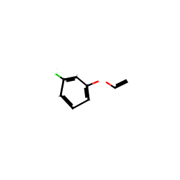 C=COc1cccc(Cl)c1